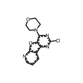 Clc1nc(N2CCOCC2)c2oc3ncccc3c2n1